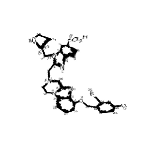 O=C(O)c1ccc2nc(CN3CCn4c(nc5c(OCc6ccc(Cl)cc6F)cccc54)C3)n(C[C@@H]3CCO3)c2c1